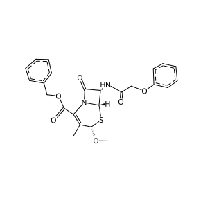 CO[C@H]1S[C@H]2[C@@H](NC(=O)COc3ccccc3)C(=O)N2C(C(=O)OCc2ccccc2)=C1C